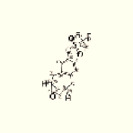 O=C1[C@@H]2CC[C@H]1Cc1ccc(OS(=O)(=O)C(F)(F)F)cc1C2